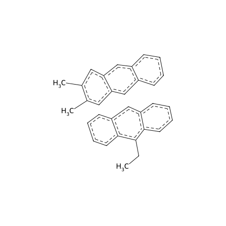 CCc1c2ccccc2cc2ccccc12.Cc1cc2cc3ccccc3cc2cc1C